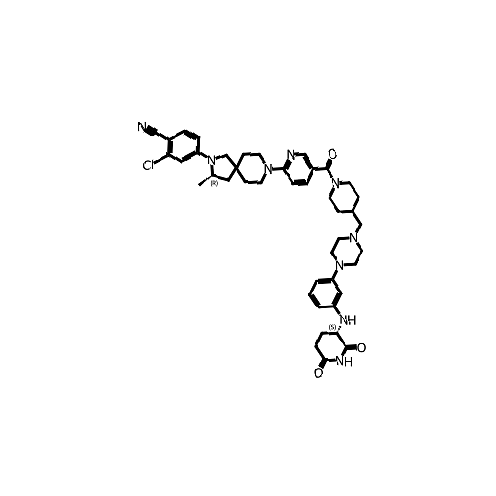 C[C@@H]1CC2(CCN(c3ccc(C(=O)N4CCC(CN5CCN(c6cccc(N[C@H]7CCC(=O)NC7=O)c6)CC5)CC4)cn3)CC2)CN1c1ccc(C#N)c(Cl)c1